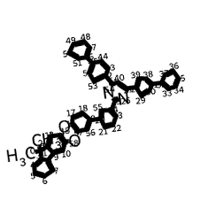 CC1(C)c2ccccc2-c2cc3c(cc21)Oc1ccc(-c2cccc(-c4nc(-c5ccc(-c6ccccc6)cc5)cc(-c5ccc(-c6ccccc6)cc5)n4)c2)cc1O3